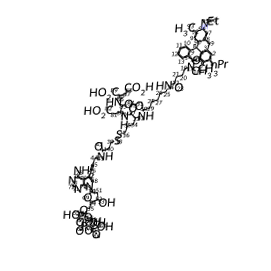 CCCc1cc2c(cc1C)C(c1ccccc1C(=O)N(C)CCCC(=O)NCCCCCC(=O)NC(CCCSSCCC(=O)NCC#Cc1cn([C@H]3CC(O)[C@@H](COP(=O)(O)OP(=O)(O)OP(=O)(O)O)O3)c3ncnc(N)c13)C(=O)NC(CC(=O)O)C(=O)NC(CC(=O)O)C(=O)O)C1C=C(C)/C(=N/CC)C=C1C2